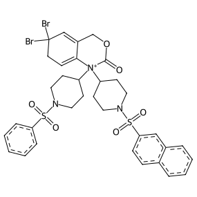 O=C1OCC2=CC(Br)(Br)CC=C2[N+]1(C1CCN(S(=O)(=O)c2ccccc2)CC1)C1CCN(S(=O)(=O)c2ccc3ccccc3c2)CC1